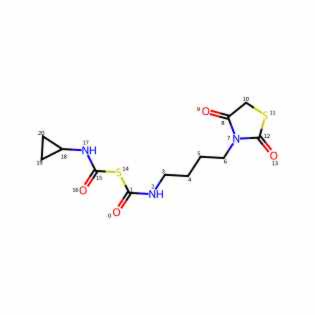 O=C(NCCCCN1C(=O)CSC1=O)SC(=O)NC1CC1